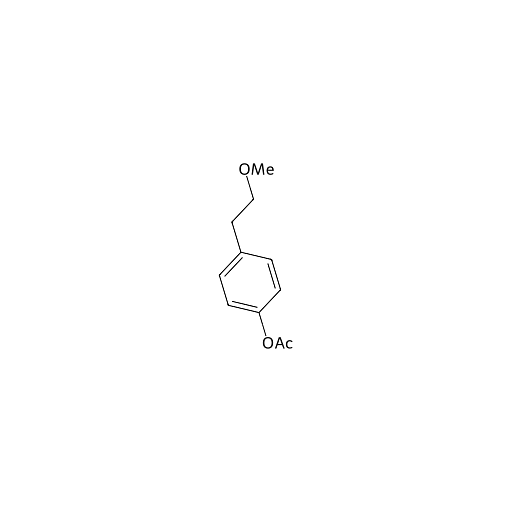 COCCc1ccc(OC(C)=O)cc1